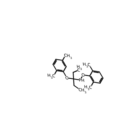 CCC(CC)(Oc1cc(C)ccc1C)POc1c(C)cccc1C